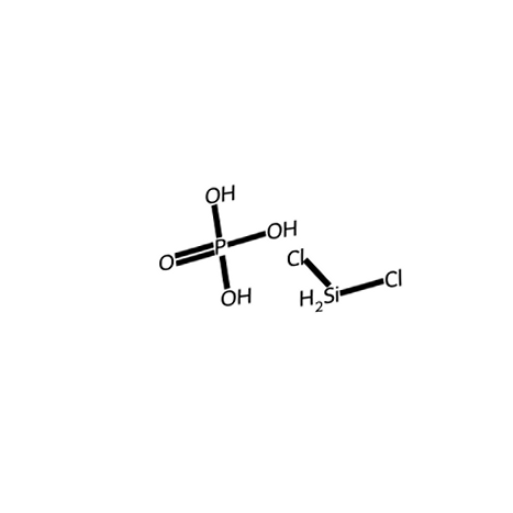 Cl[SiH2]Cl.O=P(O)(O)O